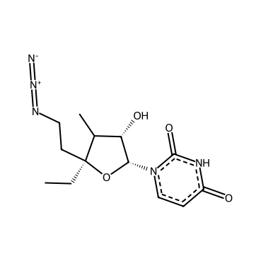 CC[C@@]1(CCN=[N+]=[N-])O[C@@H](n2ccc(=O)[nH]c2=O)[C@@H](O)C1C